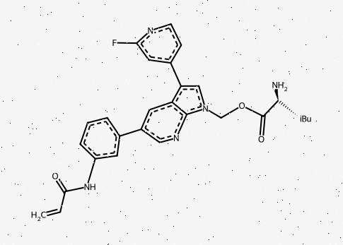 C=CC(=O)Nc1cccc(-c2cnc3c(c2)c(-c2ccnc(F)c2)cn3COC(=O)[C@@H](N)[C@@H](C)CC)c1